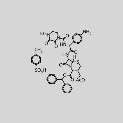 CCN1CCN(C(=O)N[C@@H](C(=O)N[C@@H]2C(=O)N3C(C(=O)OC(c4ccccc4)c4ccccc4)=C(COC(C)=O)CS[C@@H]23)c2ccc(N)cc2)C(=O)C1=O.Cc1ccc(S(=O)(=O)O)cc1